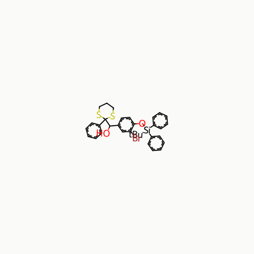 CC(C)(C)[Si](Oc1ccc(C(O)C2(c3ccccc3)SCCCS2)cc1Br)(c1ccccc1)c1ccccc1